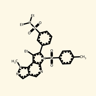 CCc1c(-c2cccc(S(=O)(=O)N(CC)CC)c2)n(S(=O)(=O)c2ccc(C)cc2)c2ncc3cnn(C)c3c12